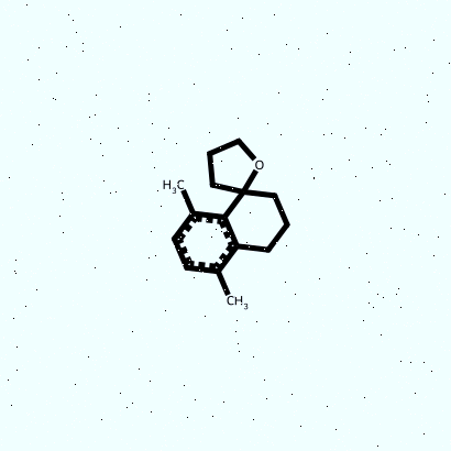 Cc1ccc(C)c2c1CCCC21CCCO1